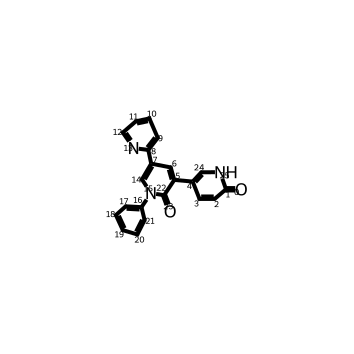 O=c1ccc(-c2cc(-c3ccccn3)cn(-c3ccccc3)c2=O)c[nH]1